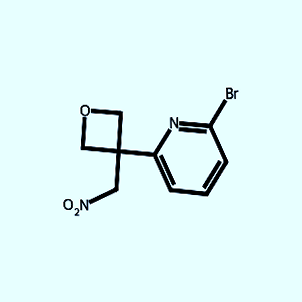 O=[N+]([O-])CC1(c2cccc(Br)n2)COC1